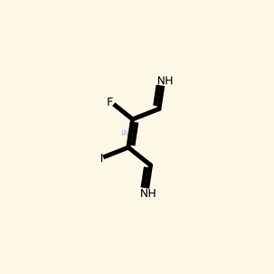 N=C/C(F)=C(/I)C=N